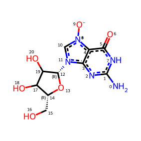 Nc1nc2c(c(=O)[nH]1)[n+]([O-])cn2[C@@H]1O[C@H](CO)C(O)C1O